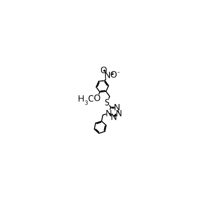 COc1ccc([N+](=O)[O-])cc1CSc1nnnn1Cc1ccccc1